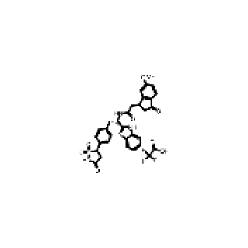 COc1ccc2c(c1)C(CC(=O)N[C@@H](Cc1ccc(C3CC(=O)NS3(=O)=O)cc1)c1nc3ccccc3[nH]1)CC2=O.O=C(O)C(F)(F)F